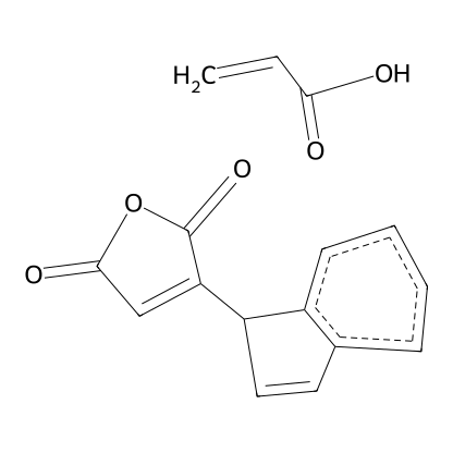 C=CC(=O)O.O=C1C=C(C2C=Cc3ccccc32)C(=O)O1